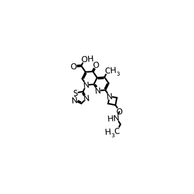 CCNOC1CN(c2cc(C)c3c(=O)c(C(=O)O)cn(-c4ncns4)c3n2)C1